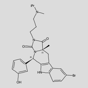 CC(C)N(C)CCCN1C(=O)N2[C@H](c3cccc(O)c3)c3[nH]c4ccc(Br)cc4c3C[C@@]2(C)C1=O